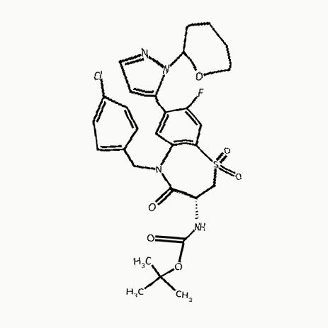 CC(C)(C)OC(=O)N[C@H]1CS(=O)(=O)c2cc(F)c(-c3ccnn3C3CCCCO3)cc2N(Cc2ccc(Cl)cc2)C1=O